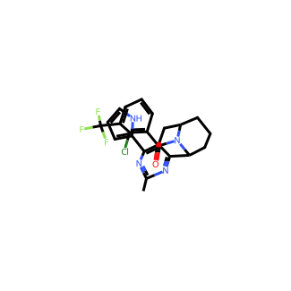 Cc1nc(-c2ccc[nH]2)c2c(n1)C1CCCC(C2)N1C(=O)c1cccc(C(F)(F)F)c1Cl